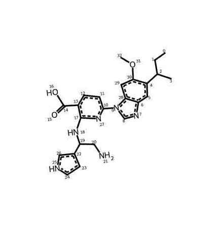 CCC(C)c1cc2ncn(-c3ccc(C(=O)O)c(NC(CN)c4cc[nH]c4)n3)c2cc1OC